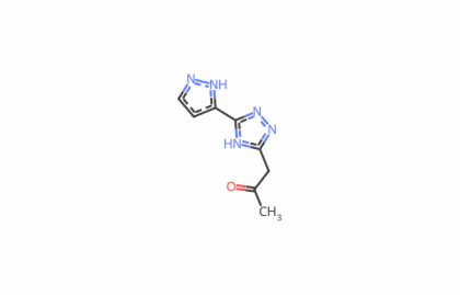 CC(=O)Cc1nnc(-c2ccn[nH]2)[nH]1